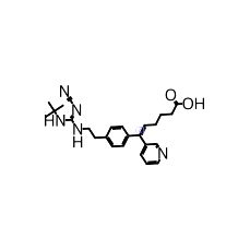 CC(C)(C)NC(=NC#N)NCCc1ccc(/C(=C/CCCC(=O)O)c2cccnc2)cc1